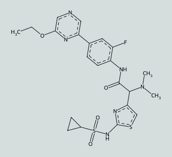 CCOc1cncc(-c2ccc(NC(=O)C(c3csc(NS(=O)(=O)C4CC4)n3)N(C)C)c(F)c2)n1